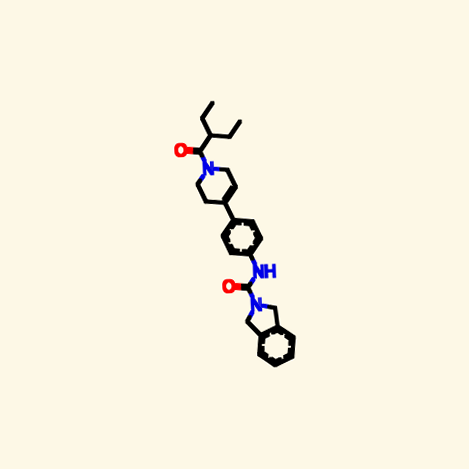 CCC(CC)C(=O)N1CC=C(c2ccc(NC(=O)N3Cc4ccccc4C3)cc2)CC1